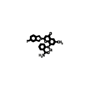 CCN(c1ccccc1C(N)=O)c1cc(C)cc2c(=O)cc(N3Cc4ccc(F)cc4C3)oc12